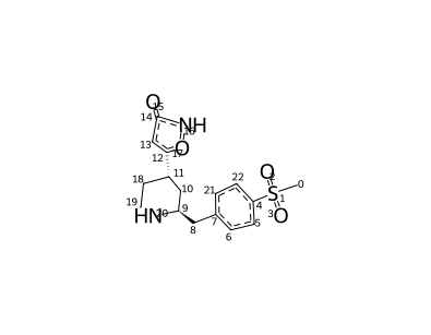 CS(=O)(=O)c1ccc(C[C@@H]2C[C@@H](c3cc(=O)[nH]o3)CCN2)cc1